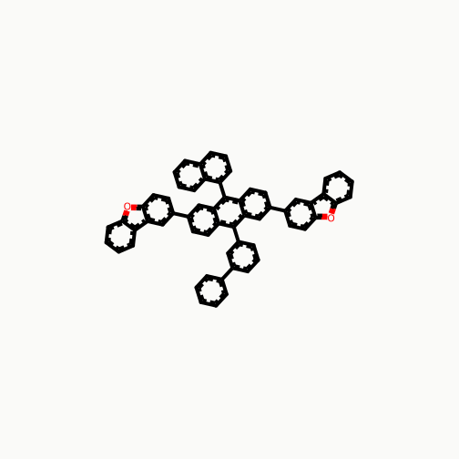 c1ccc(-c2cccc(-c3c4cc(-c5ccc6oc7ccccc7c6c5)ccc4c(-c4cccc5ccccc45)c4cc(-c5ccc6oc7ccccc7c6c5)ccc34)c2)cc1